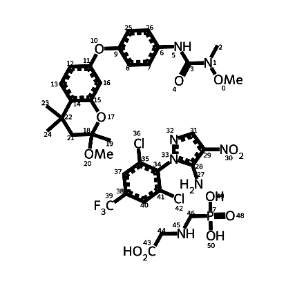 CON(C)C(=O)Nc1ccc(Oc2ccc3c(c2)OC(C)(OC)CC3(C)C)cc1.Nc1c([N+](=O)[O-])cnn1-c1c(Cl)cc(C(F)(F)F)cc1Cl.O=C(O)CNCP(=O)(O)O